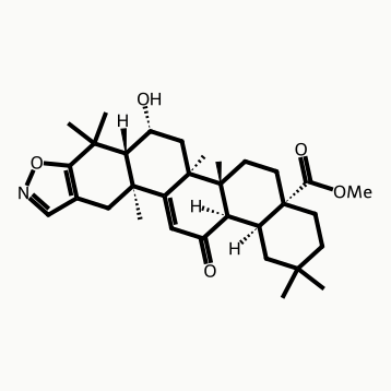 COC(=O)[C@]12CCC(C)(C)C[C@H]1[C@H]1C(=O)C=C3[C@@]4(C)Cc5cnoc5C(C)(C)[C@@H]4[C@H](O)C[C@@]3(C)[C@]1(C)CC2